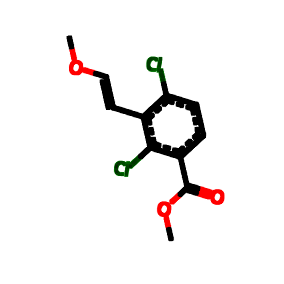 COC=Cc1c(Cl)ccc(C(=O)OC)c1Cl